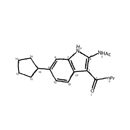 CCCC(=O)c1c(NC(C)=O)[nH]c2cc(C3CCCC3)ccc12